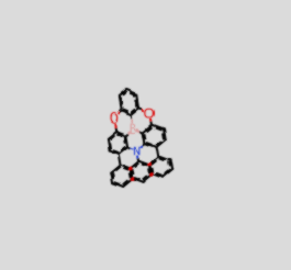 c1ccc(-c2ccc3c4c2N(c2ccccc2)c2c(-c5ccccc5)ccc5c2B4c2c(cccc2O5)O3)cc1